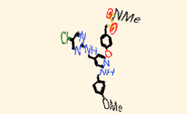 CNS(=O)(=O)Cc1ccc(Oc2cc(CNc3ncc(Cl)cn3)cc(NCc3ccc(OC)cc3)n2)cc1